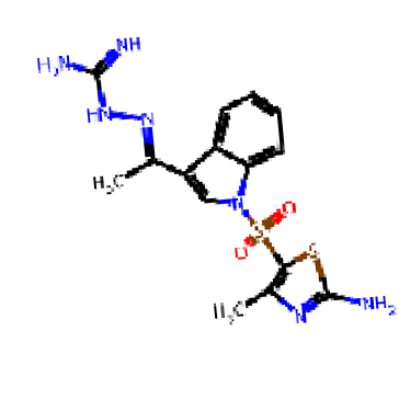 CC(=NNC(=N)N)c1cn(S(=O)(=O)c2sc(N)nc2C)c2ccccc12